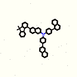 CC1(C)c2ccccc2-c2c(-c3ccc4cc(N(c5ccc(-c6ccc7ccccc7c6)cc5)c5ccc(-c6cccc7ccccc67)cc5)ccc4c3)cccc21